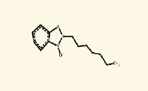 CCCCCCCN1Sc2ccccc2[S+]1[O-]